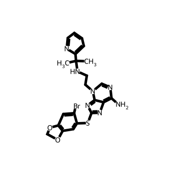 CC(C)(NCCn1cnc(N)c2nc(Sc3cc4c(cc3Br)OCO4)nc1-2)c1ccccn1